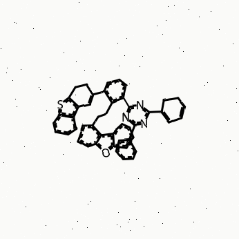 C1=CCCC(c2nc(-c3ccccc3)nc(-c3cccc(C4=Cc5c(sc6ccccc56)CC4)c3CCc3cccc4oc5ccccc5c34)n2)=C1